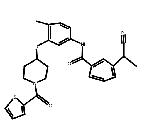 Cc1ccc(NC(=O)c2cccc(C(C)C#N)c2)cc1OC1CCN(C(=O)c2cccs2)CC1